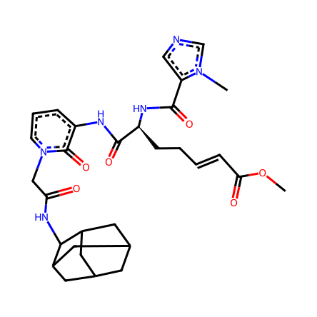 COC(=O)/C=C/CC[C@H](NC(=O)c1cncn1C)C(=O)Nc1cccn(CC(=O)NC2C3CC4CC(C3)CC2C4)c1=O